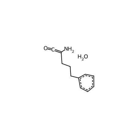 NC(=C=O)CCCc1ccccc1.O